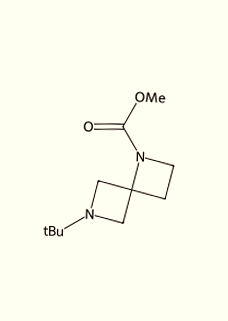 COC(=O)N1CCC12CN(C(C)(C)C)C2